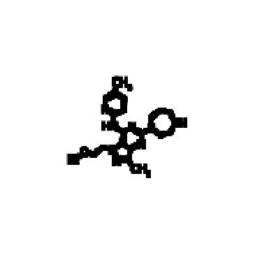 CCOCCn1nc(C)c2nc(N3CCCNCC3)nc(Nc3ccc(C)cn3)c21